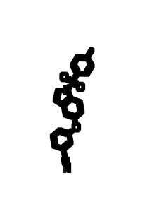 Cc1ccc(S(=O)(=O)n2ccc3cc(Oc4cccc(C#N)c4)ccc32)cc1